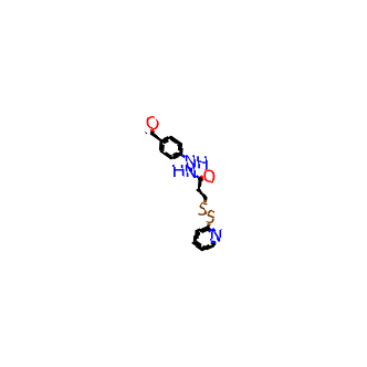 O=[C]c1ccc(NNC(=O)CCSSc2ccccn2)cc1